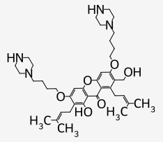 CC(C)=CCc1c(OCCCCN2CCNCC2)cc2oc3cc(OCCCCN4CCNCC4)c(CO)c(CC=C(C)C)c3c(=O)c2c1O